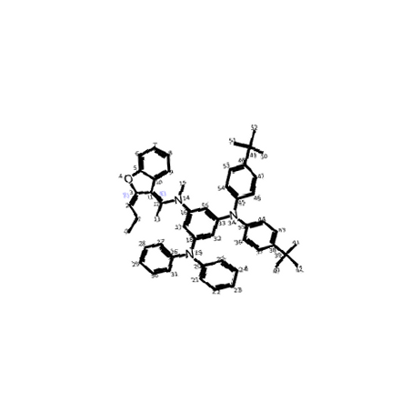 CC/C=c1/oc2ccccc2/c1=C(/C)N(C)c1cc(N(c2ccccc2)c2ccccc2)cc(N(c2ccc(C(C)(C)C)cc2)c2ccc(C(C)(C)C)cc2)c1